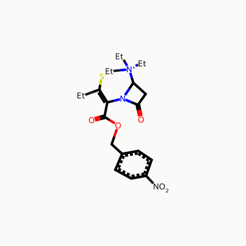 CC/C([S-])=C(\C(=O)OCc1ccc([N+](=O)[O-])cc1)N1C(=O)CC1[N+](CC)(CC)CC